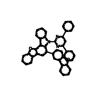 c1ccc(-c2cc(-c3ccccc3)nc(-n3c4ccccc4c4c5oc6ccccc6c5cc(-c5ccc6oc7ccccc7c6c5)c43)n2)cc1